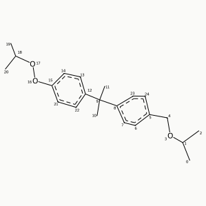 CC(C)OCc1ccc(C(C)(C)c2ccc(OOC(C)C)cc2)cc1